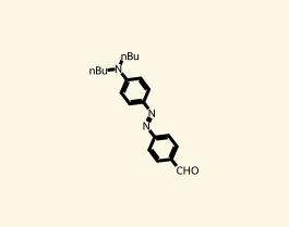 CCCCN(CCCC)c1ccc(N=Nc2ccc(C=O)cc2)cc1